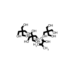 C=C(C)C(=O)O.OCC(CO)(CO)CO.OCC(CO)(CO)CO.OCC(CO)(CO)CO